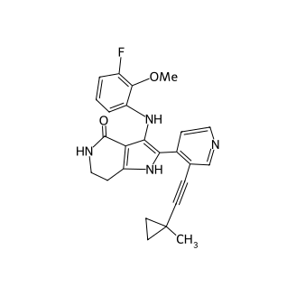 COc1c(F)cccc1Nc1c(-c2ccncc2C#CC2(C)CC2)[nH]c2c1C(=O)NCC2